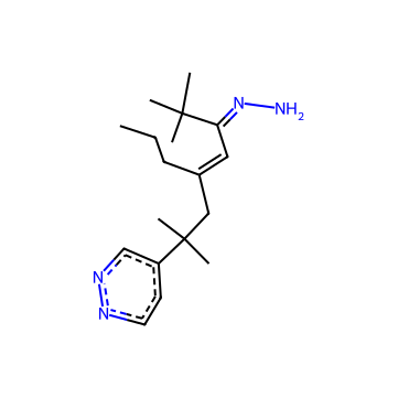 CCC/C(=C\C(=N/N)C(C)(C)C)CC(C)(C)c1ccnnc1